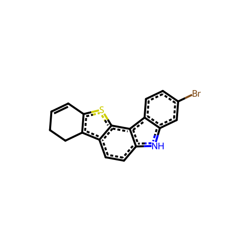 Brc1ccc2c(c1)[nH]c1ccc3c4c(sc3c12)C=CCC4